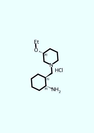 CCO[C@@H]1CCCN(C[C@@H]2CCCC[C@H]2N)C1.Cl